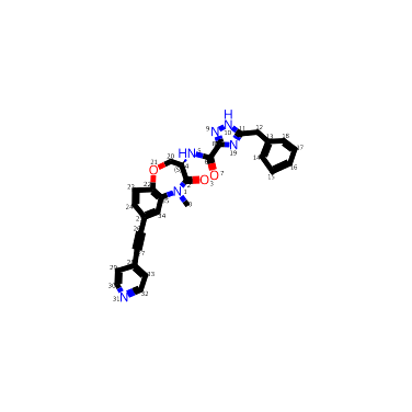 CN1C(=O)[C@@H](NC(=O)c2n[nH]c(Cc3ccccc3)n2)COc2ccc(C#Cc3ccncc3)cc21